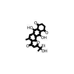 CCC(C)(O)c1cc(=O)c2c(C)cc3c(O)c4c(c(O)c3c2o1)C(=O)CCC4=O